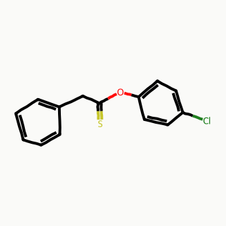 S=C(Cc1ccccc1)Oc1ccc(Cl)cc1